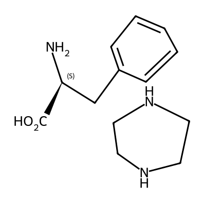 C1CNCCN1.N[C@@H](Cc1ccccc1)C(=O)O